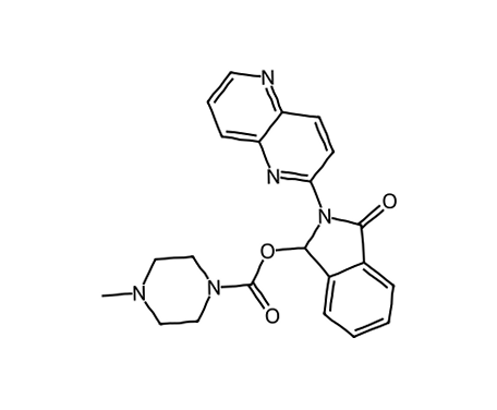 CN1CCN(C(=O)OC2c3ccccc3C(=O)N2c2ccc3ncccc3n2)CC1